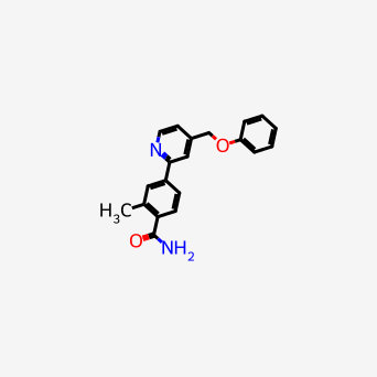 Cc1cc(-c2cc(COc3ccccc3)ccn2)ccc1C(N)=O